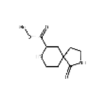 CC(C)(C)OC(=O)C1CC2(CCNC2=O)CCN1